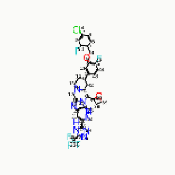 Fc1cc(Cl)ccc1COc1cc(C2CCN(Cc3nc4cc(-c5nnc(C(F)(F)F)[nH]5)nnc4n3CC3CCO3)CC2)ccc1F